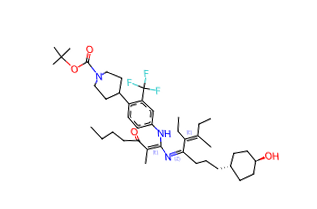 CCCCC(=O)/C(C)=C(/N=C(CCC[C@H]1CC[C@H](O)CC1)\C(CC)=C(/C)CC)Nc1ccc(C2CCN(C(=O)OC(C)(C)C)CC2)c(C(F)(F)F)c1